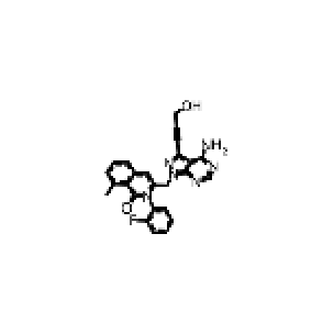 Cc1cccc2cc(Cn3nc(C#CCO)c4c(N)ncnc43)n(-c3ccccc3F)c(=O)c12